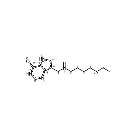 CCSCCCCNCc1c[nH]c2c(=O)[nH]cnc12